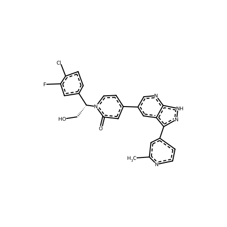 Cc1cc(-c2n[nH]c3ncc(-c4ccn([C@H](CO)c5ccc(Cl)c(F)c5)c(=O)c4)cc23)ccn1